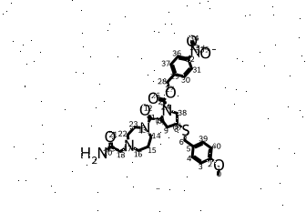 COc1ccc(CS[C@H]2C[C@@H](C(=O)N3CCCN(CC(N)=O)CC3)N(C(=O)OCc3ccc([N+](=O)[O-])cc3)C2)cc1